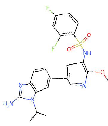 COc1ncc(-c2ccc3nc(N)n(C(C)C)c3c2)cc1NS(=O)(=O)c1ccc(F)cc1F